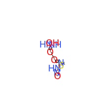 CC(C)c1nc(-c2ccc(OCCCCCOc3ccc(C(=N)NO)cc3)cc2)c(CCNCCN2CCOCC2)s1